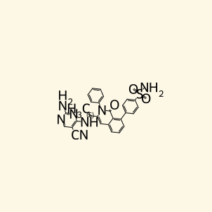 C[C@H](Nc1nc(N)ncc1C#N)c1cc2cccc(-c3ccc(S(N)(=O)=O)cc3)c2c(=O)n1-c1ccccc1